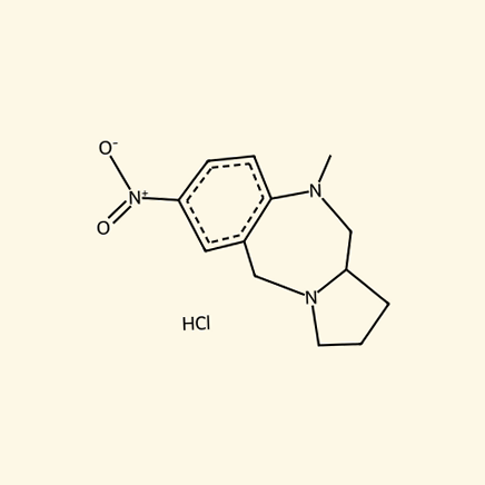 CN1CC2CCCN2Cc2cc([N+](=O)[O-])ccc21.Cl